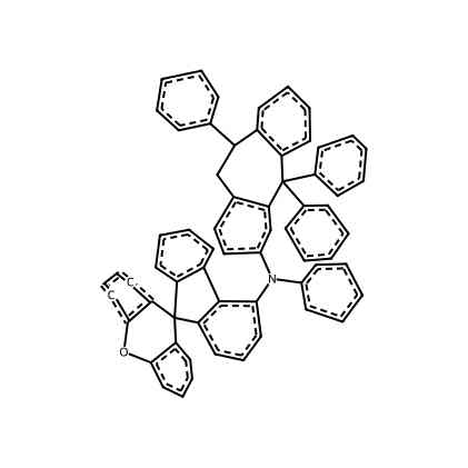 c1ccc(C2Cc3ccc(N(c4ccccc4)c4cccc5c4-c4ccccc4C54c5ccccc5Oc5ccccc54)cc3C(c3ccccc3)(c3ccccc3)c3ccccc32)cc1